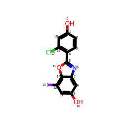 Oc1ccc(-c2nc3cc(O)cc(I)c3o2)c(Cl)c1